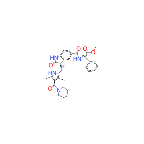 COC(=O)[C@@H](NC(=O)c1ccc2c(c1)/C(=C/c1[nH]c(C)c(C(=O)N3CCCCC3)c1C)C(=O)N2)c1ccccc1